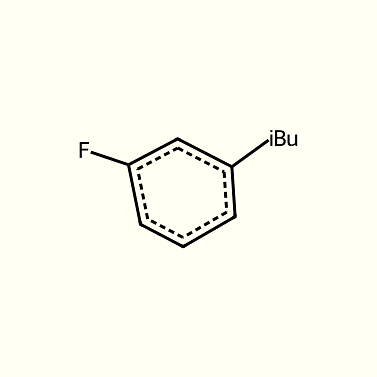 [CH2]CC(C)c1cccc(F)c1